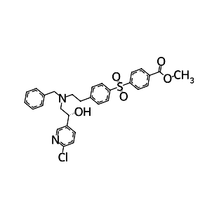 COC(=O)c1ccc(S(=O)(=O)c2ccc(CCN(Cc3ccccc3)C[C@H](O)c3ccc(Cl)nc3)cc2)cc1